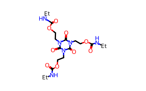 CCNC(=O)OCCn1c(=O)n(CCOC(=O)NCC)c(=O)n(CCOC(=O)NCC)c1=O